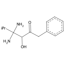 CC(C)C(N)(N)C(O)C(=O)Cc1ccccc1